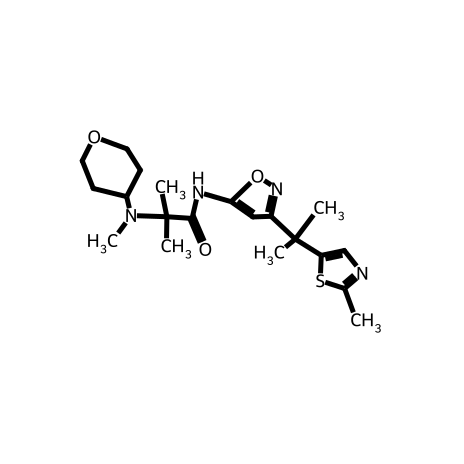 Cc1ncc(C(C)(C)c2cc(NC(=O)C(C)(C)N(C)C3CCOCC3)on2)s1